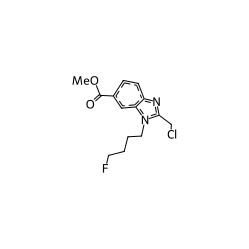 COC(=O)c1ccc2nc(CCl)n(CCCCF)c2c1